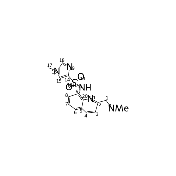 CNCc1ccc2cccc(NS(=O)(=O)c3cn(C)cn3)c2n1